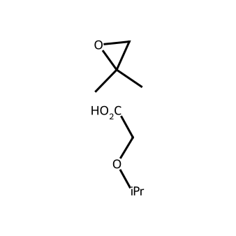 CC(C)OCC(=O)O.CC1(C)CO1